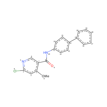 COc1cc(Cl)ncc1C(=O)Nc1ccc(-c2ccccc2)cc1